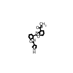 COC(=O)c1cccc2oc(-c3cccc4oc(-c5cc[nH]c5)nc34)nc12